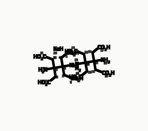 NC(CC(=O)O)(CC(=O)O)C(N)(CC(=O)O)CC(=O)O.NC(CC(=O)O)(CC(=O)O)C(N)(CC(=O)O)CC(=O)O.[NaH]